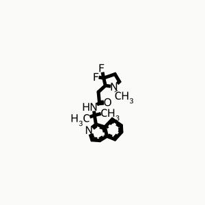 CN1CCC(F)(F)C1CC(=O)NC(C)(C)c1nccc2ccccc12